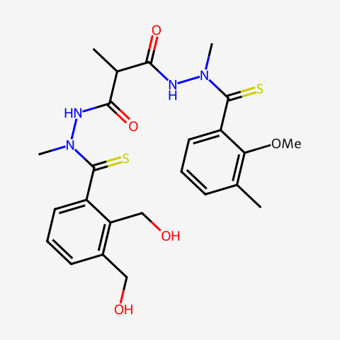 COc1c(C)cccc1C(=S)N(C)NC(=O)C(C)C(=O)NN(C)C(=S)c1cccc(CO)c1CO